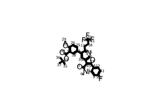 CNC(=O)c1c(-c2ccc(F)cc2)oc2nc(CCC(F)(F)F)c(-c3ccc(OC)c(C(=O)OC(C)(C)C)c3)cc12